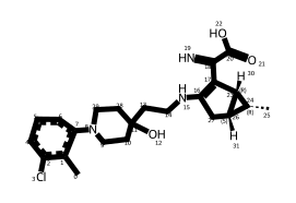 Cc1c(Cl)cccc1N1CCC(O)(CCNC2=C(C(=N)C(=O)O)[C@@H]3[C@H](C)[C@@H]3C2)CC1